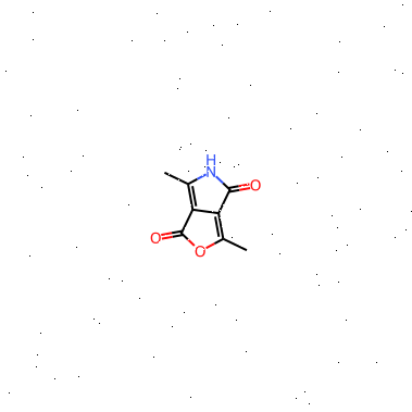 CC1=C2C(=O)OC(C)=C2C(=O)N1